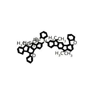 CC(C)(C)c1ccccc1N(c1ccc2c(c1)C(C)(C)c1cc3c(cc1-2)C(C)(C)c1ccc2oc4ccccc4c2c1-3)c1ccc2c(c1)C(C)(C)c1c3c(c4c(oc5ccccc54)c1-2)-c1ccccc1C3(C)C